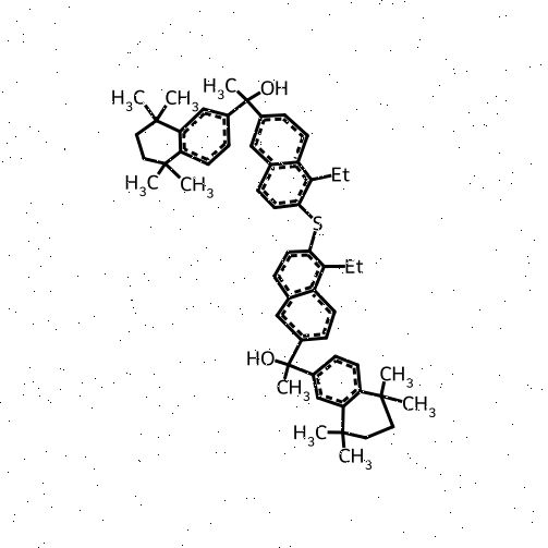 CCc1c(Sc2ccc3cc(C(C)(O)c4ccc5c(c4)C(C)(C)CCC5(C)C)ccc3c2CC)ccc2cc(C(C)(O)c3ccc4c(c3)C(C)(C)CCC4(C)C)ccc12